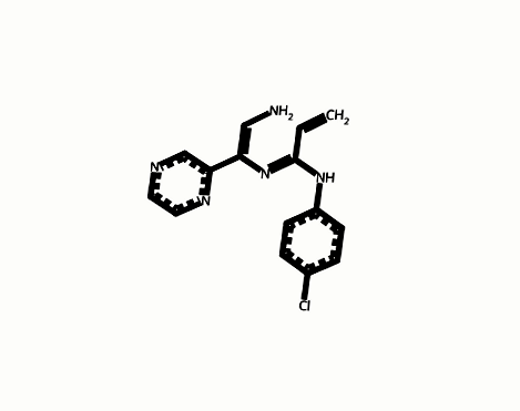 C=C/C(=N\C(=C/N)c1cnccn1)Nc1ccc(Cl)cc1